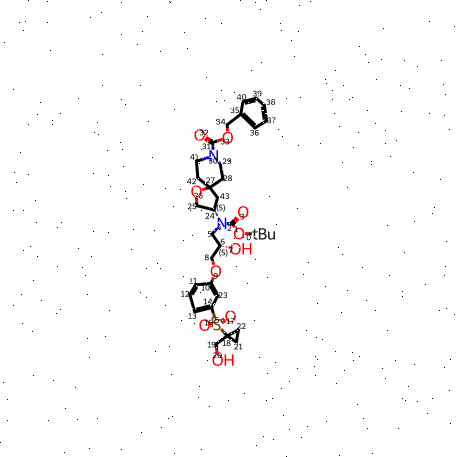 CC(C)(C)OC(=O)N(C[C@H](O)COc1cccc(S(=O)(=O)C2(CO)CC2)c1)[C@@H]1COC2(CCN(C(=O)OCc3ccccc3)CC2)C1